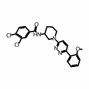 COc1ccccc1-c1ccc(N2CCCC(NC(=O)c3ccc(Cl)c(Cl)c3)C2)nn1